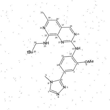 COc1cc(-c2nncn2C)ccc1Nc1ncc2cc(C)nc(NCC(C)(C)C)c2n1